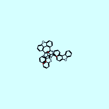 c1ccc(-c2nc(-c3ccc4oc5ccccc5c4c3)nc(-c3cccc4oc5cccc(-c6nc(-c7ccccc7)c7sc8ccccc8c7n6)c5c34)n2)cc1